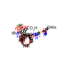 C=C1C[C@@H]2CC[C@@]34C[C@@H]5O[C@@H]6[C@@H](O[C@H]7CC[C@H](CC(=O)C[C@@H]8[C@@H](OC)[C@@H](C[C@H](O)CN)O[C@H]8C[C@H]8O[C@@H](CC[C@@H]1O2)C[C@@H](C)C8=C)O[C@@H]7[C@@H]6O3)[C@H]5O4.CC(C)(C)NC(=O)C1CCC2C3CC=C4C=C(C(=O)O)CCC4(C)C3CCC12C.CCOC(=O)Nc1ccc(SC[C@H]2CO[C@](Cn3ccnc3)(c3ccc(OC)cc3)O2)cc1.OCC(O)CO.[Cl-].[H+]